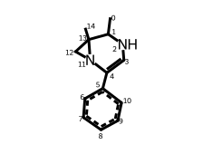 CC1NC=C(c2ccccc2)N2CC12C